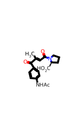 CC(=O)Nc1ccc(C(=O)C(C)=CC(=O)N2CCC[C@H]2C(=O)O)cc1